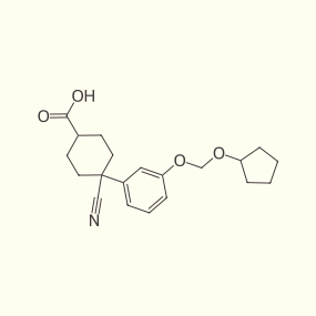 N#CC1(c2cccc(OCOC3CCCC3)c2)CCC(C(=O)O)CC1